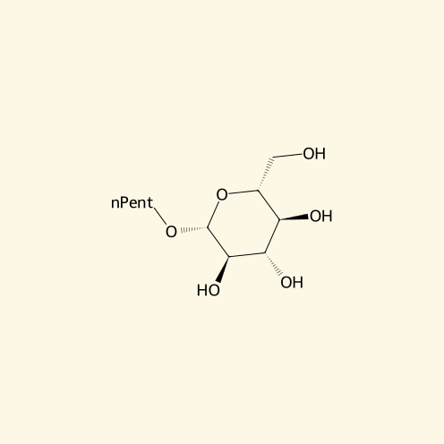 CCCCCO[C@@H]1O[C@H](CO)[C@@H](O)[C@H](O)[C@H]1O